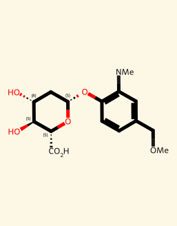 CNc1cc(COC)ccc1O[C@H]1C[C@@H](O)[C@H](O)[C@@H](C(=O)O)O1